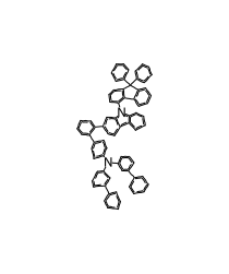 c1ccc(-c2cccc(N(c3ccc(-c4ccccc4-c4ccc5c6ccccc6n(-c6cccc7c6-c6ccccc6C7(c6ccccc6)c6ccccc6)c5c4)cc3)c3cccc(-c4ccccc4)c3)c2)cc1